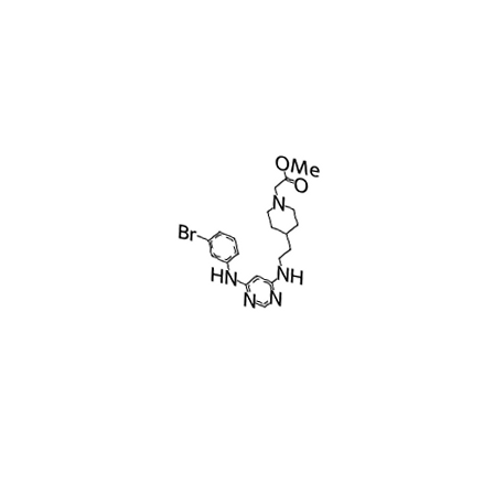 COC(=O)CN1CCC(CCNc2cc(Nc3cccc(Br)c3)ncn2)CC1